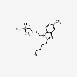 C[Si](C)(C)CCOCn1c(CCCCO)nc2cc(C(F)(F)F)ccc21